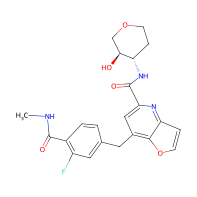 CNC(=O)c1ccc(Cc2cc(C(=O)N[C@H]3CCOC[C@@H]3O)nc3ccoc23)cc1F